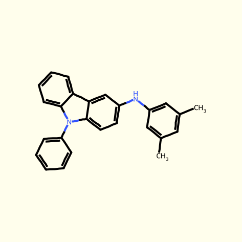 Cc1cc(C)cc(Nc2ccc3c(c2)c2ccccc2n3-c2ccccc2)c1